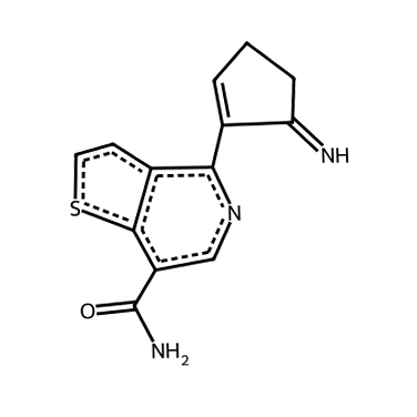 N=C1CCC=C1c1ncc(C(N)=O)c2sccc12